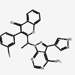 CC(c1oc2ccccc2c(=O)c1-c1cccc(F)c1)n1nc(-c2cn[nH]c2)c2c(N)ncnc21